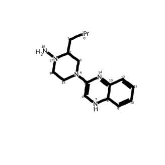 CC(C)CC1CN(C2=CNC3C=CC=CC3=N2)CCN1N